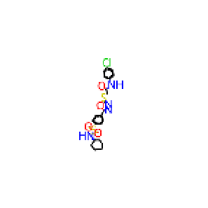 O=C(CSc1nnc(-c2ccc(S(=O)(=O)NC3CCCCC3)cc2)o1)Nc1ccc(Cl)cc1